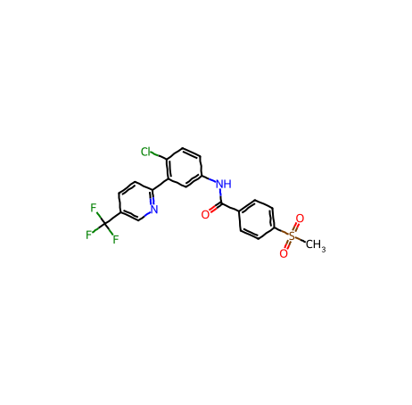 CS(=O)(=O)c1ccc(C(=O)Nc2ccc(Cl)c(-c3ccc(C(F)(F)F)cn3)c2)cc1